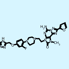 Cn1c(=O)n(CCN2CCN(c3ccc(OCc4nnc[nH]4)cc3F)CC2)c2nc(N)n3nc(-c4ccco4)nc3c21